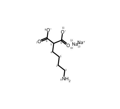 NCCCCC(C(=O)[O-])C(=O)[O-].[Na+].[Na+]